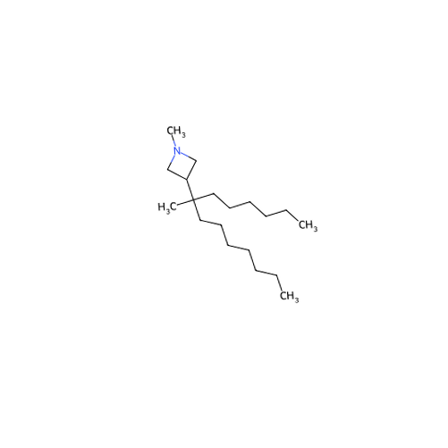 CCCCCCCC(C)(CCCCCC)C1CN(C)C1